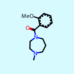 COc1ccccc1C(=O)N1CCCN(C)CC1